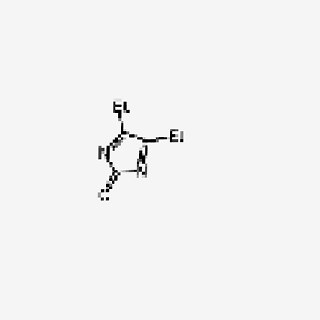 CCC1=NC(=O)N=C1CC